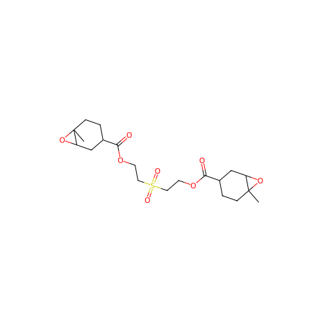 CC12CCC(C(=O)OCCS(=O)(=O)CCOC(=O)C3CCC4(C)OC4C3)CC1O2